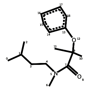 CC(C)CCN(C)C(=O)C(C)(C)Oc1ccccc1